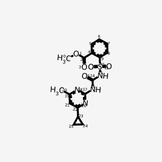 COC(=O)c1ccccc1S(=O)(=O)NC(=O)Nc1nc(C)cc(C2CC2)n1